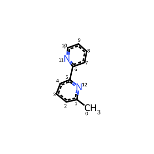 Cc1cccc(-c2ccc[c]n2)n1